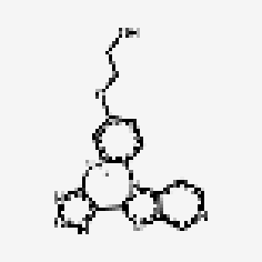 Nc1nonc1-c1nc2cnccc2n1-c1ccc(OCCO)cc1